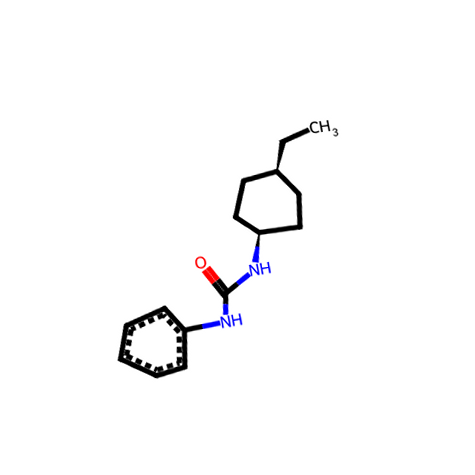 CC[C@H]1CC[C@@H](NC(=O)Nc2ccccc2)CC1